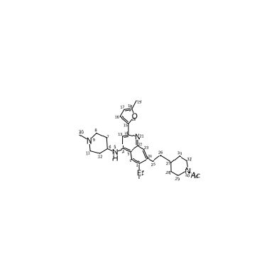 CCc1cc2c(NC3CCN(C)CC3)cc(-c3ccc(C)o3)nc2cc1CCC1CCN(C(C)=O)CC1